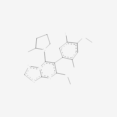 COc1cc(F)c(-c2c(OC)nc3ncnn3c2N2CCCC2C)cc1F